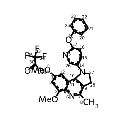 COc1cc(OC)c2nc(C)c3c(c2c1)N(c1ccc(Oc2ccccc2)nc1)CC3.O=C(O)C(F)(F)F